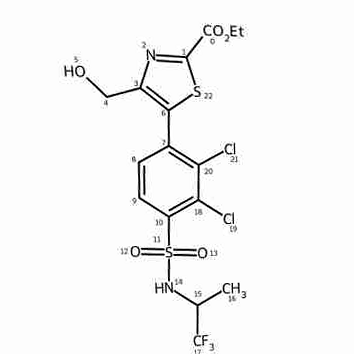 CCOC(=O)c1nc(CO)c(-c2ccc(S(=O)(=O)NC(C)C(F)(F)F)c(Cl)c2Cl)s1